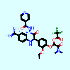 CCOc1cc(C(Nc2ccc(C(=N)N)cc2)C(=O)NNC(=O)c2ccncc2)ccc1OC(OC(=O)C(F)(F)F)C(=O)N(C)C